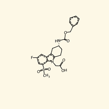 CS(=O)(=O)c1cc(F)cc2c3c(n(CC(=O)O)c12)CC[C@@H](NC(=O)OCc1ccccc1)C3